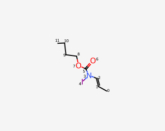 CC=CN(I)C(=O)OCCCC